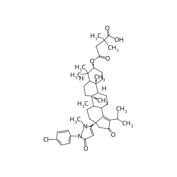 CC(C)C1=C2C3CC[C@@H]4[C@@]5(C)CC[C@H](OC(=O)CC(C)(C)C(=O)O)C(C)(C)[C@@H]5CC[C@@]4(C)[C@]3(C)CC[C@@]2(c2cc(=O)n(-c3ccc(Cl)cc3)n2C)CC1=O